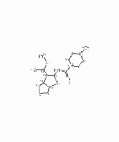 CCN1CCN(C(=O)NC2SC3CCCC3C2C(=O)OC(C)C)CC1